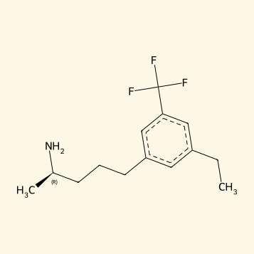 CCc1cc(CCC[C@@H](C)N)cc(C(F)(F)F)c1